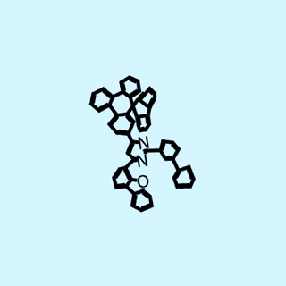 c1ccc(-c2cccc(-c3nc(-c4ccc5c(c4)C4(c6ccccc6-c6ccccc6-5)c5ccccc5-c5ccccc54)cc(-c4cccc5c4oc4ccccc45)n3)c2)cc1